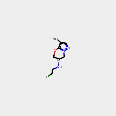 CC(C)(C)c1cnn2c1OC[C@H](NCCF)C2